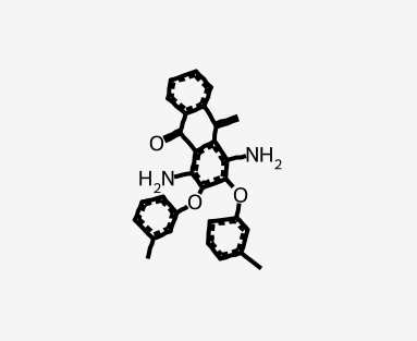 C=C1c2ccccc2C(=O)c2c(N)c(Oc3cccc(C)c3)c(Oc3cccc(C)c3)c(N)c21